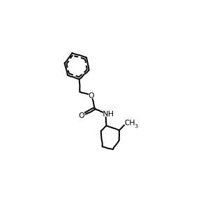 CC1CCCCC1NC(=O)OCc1ccccc1